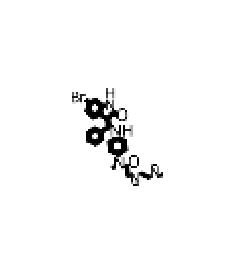 CN(C)CCN(C)CC(=O)N(C)c1ccc(N/C(=C2\C(=O)Nc3cc(Br)ccc32)c2ccccc2)cc1